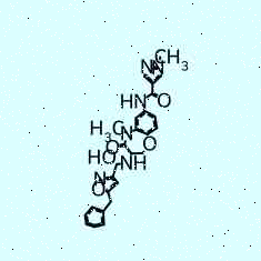 CN1C(=O)[C@@H](NC(O)c2cc(Cc3ccccc3)on2)COc2ccc(NC(=O)c3cnn(C)c3)cc21